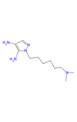 CN(C)CCCCCCn1ncc(N)c1N